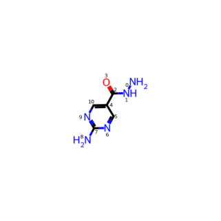 NNC(=O)c1cnc(N)nc1